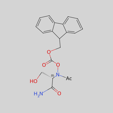 CC(=O)N(OC(=O)OCC1c2ccccc2-c2ccccc21)[C@@H](CO)C(N)=O